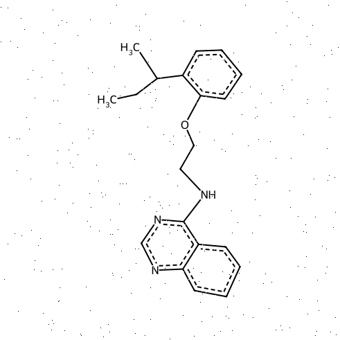 CCC(C)c1ccccc1OCCNc1ncnc2ccccc12